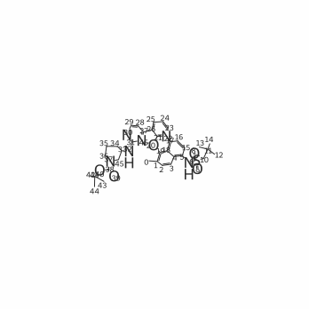 Cc1ccc2c(NS(=O)(=O)CC(C)(C)C)cccc2c1Oc1ncccc1-c1ccnc(N[C@H]2CCCN(C(=O)OC(C)(C)C)C2)n1